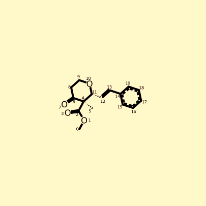 COC(=O)[C@@]1(C)C(=O)CCO[C@@H]1/C=C/c1ccccc1